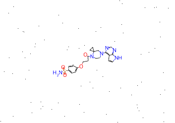 NS(=O)(=O)c1ccc(OCCC(=O)N2CCN(c3ncnc4[nH]ccc34)CC23CC3)cc1